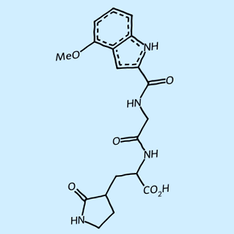 COc1cccc2[nH]c(C(=O)NCC(=O)NC(CC3CCNC3=O)C(=O)O)cc12